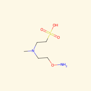 CN(CCON)CCS(=O)(=O)O